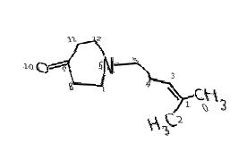 CC(C)=CCCN1CCC(=O)CC1